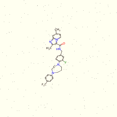 Cc1ccn2c(C(=O)NCc3ccc(N4CCCN(c5ccc(C(F)(F)F)cc5)CC4)c(F)c3)c(C)nc2c1